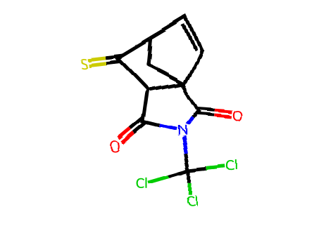 O=C1C2C(=S)C3C=CC2(C3)C(=O)N1C(Cl)(Cl)Cl